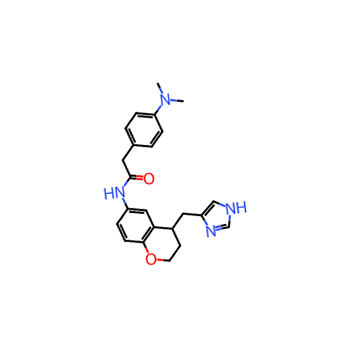 CN(C)c1ccc(CC(=O)Nc2ccc3c(c2)C(Cc2c[nH]cn2)CCO3)cc1